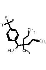 C=CCC(C)(CCC)C(C)c1ccc(C(F)(F)F)cc1